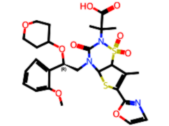 COc1ccccc1[C@H](CN1C(=O)N(C(C)(C)C(=O)O)S(=O)(=O)C2C(C)=C(c3ncco3)SC21)OC1CCOCC1